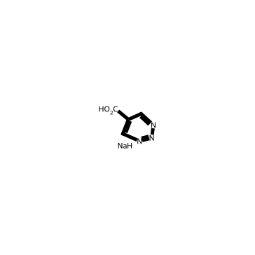 O=C(O)c1cnnnc1.[NaH]